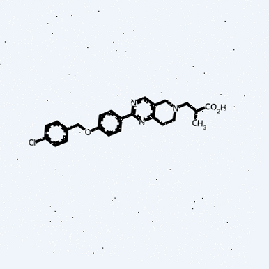 CC(CN1CCc2nc(-c3ccc(OCc4ccc(Cl)cc4)cc3)ncc2C1)C(=O)O